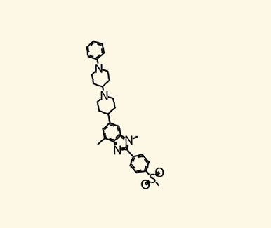 Cc1cc(C2CCN(C3CCN(c4ccccc4)CC3)CC2)cc2c1nc(-c1ccc(S(C)(=O)=O)cc1)n2C